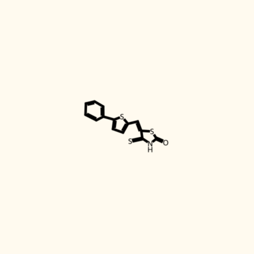 O=C1NC(=S)/C(=C\c2ccc(-c3ccccc3)s2)S1